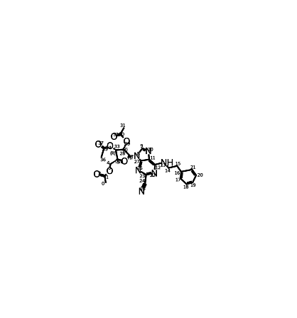 CC(=O)OC[C@@H]1O[C@@H](n2cnc3c(NCCc4ccccc4)nc(C#N)nc32)[C@H](OC(C)=O)[C@@H]1OC(C)=O